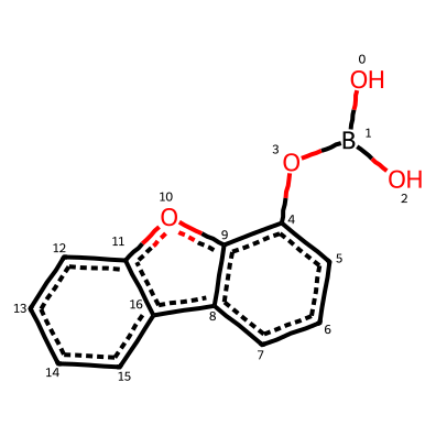 OB(O)Oc1cccc2c1oc1ccccc12